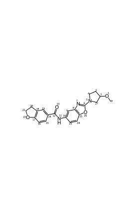 COC1CCN(c2nc3cc(NC(=O)c4ccc5c(c4)CCO5)ccc3o2)C1